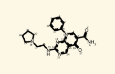 NC(=O)c1cn(-c2ccccc2)c2nc(NCCN3CCCC3)ncc2c1=O